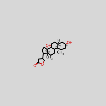 C[C@]12CC[C@@H](O)C[C@H]1CCC1C2CC[C@]2(C)C(C3COC(=O)C3)CC[C@]12O